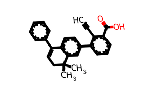 C#Cc1c(C(=O)O)cccc1-c1ccc2c(c1)C(C)(C)CC=C2c1ccccc1